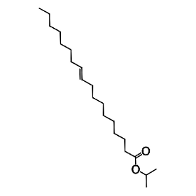 CCCCCCC/C=C/CCCCCCCCC(=O)OC(C)C